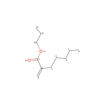 C=C(CCCCC)C(=O)OCCC